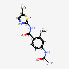 CCCC(=O)Nc1ccc(C(=O)Nc2ncc(N=O)s2)c(OC(C)=O)c1